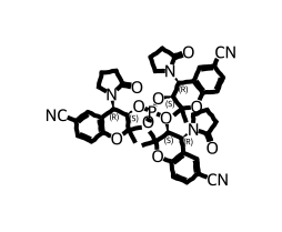 CC1(C)Oc2ccc(C#N)cc2[C@@H](N2CCCC2=O)[C@@H]1OP(=O)(O[C@H]1[C@H](N2CCCC2=O)c2cc(C#N)ccc2OC1(C)C)O[C@H]1[C@H](N2CCCC2=O)c2cc(C#N)ccc2OC1(C)C